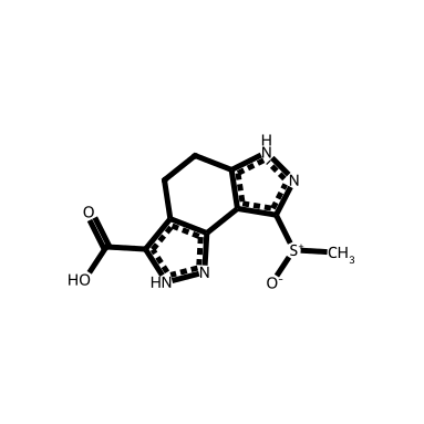 C[S+]([O-])c1n[nH]c2c1-c1n[nH]c(C(=O)O)c1CC2